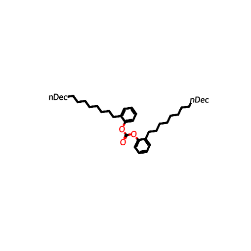 CCCCCCCCCCCCCCCCCCc1ccccc1OC(=O)Oc1ccccc1CCCCCCCCCCCCCCCCCC